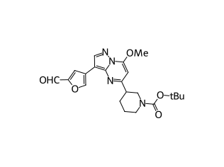 COc1cc(C2CCCN(C(=O)OC(C)(C)C)C2)nc2c(-c3coc(C=O)c3)cnn12